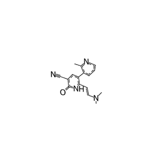 Cc1ncccc1-c1cc(C#N)c(=O)[nH]c1/C=C/N(C)C